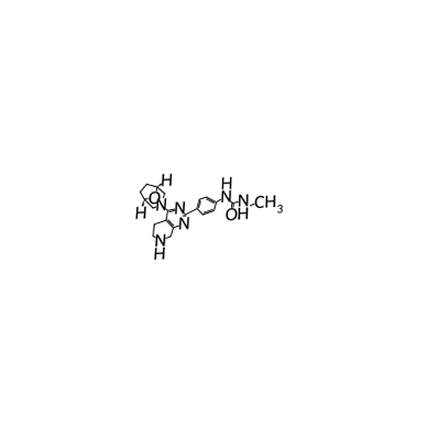 CCNC(=O)Nc1ccc(-c2nc3c(c(N4C[C@H]5CC[C@@H](C4)O5)n2)CCNC3)cc1